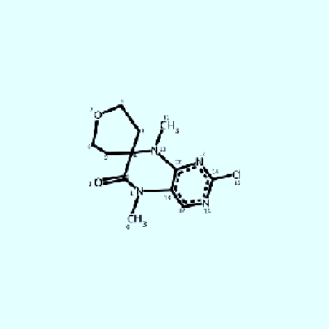 CN1C(=O)C2(CCOCC2)N(C)c2nc(Cl)ncc21